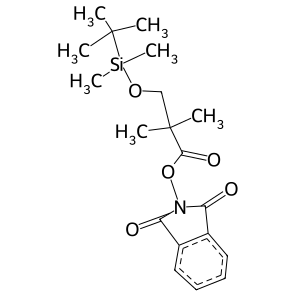 CC(C)(CO[Si](C)(C)C(C)(C)C)C(=O)ON1C(=O)c2ccccc2C1=O